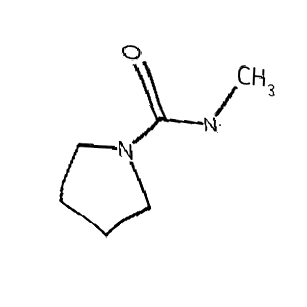 C[N]C(=O)N1CCCC1